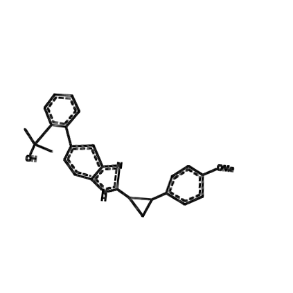 COc1ccc(C2CC2c2nc3cc(-c4ccccc4C(C)(C)O)ccc3[nH]2)cc1